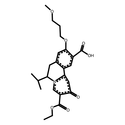 CCOC(=O)c1cn2c(cc1=O)-c1cc(C(=O)O)c(OCCCOC)cc1CC2C(C)C